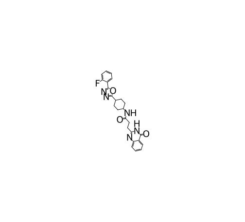 O=C(CCc1nc2ccccc2c(=O)[nH]1)NC1CCC(c2nnc(-c3ccccc3F)o2)CC1